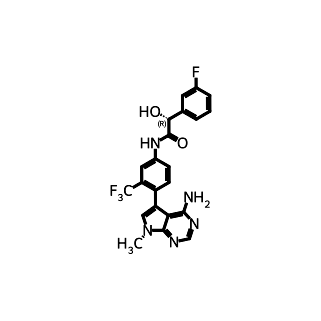 Cn1cc(-c2ccc(NC(=O)[C@H](O)c3cccc(F)c3)cc2C(F)(F)F)c2c(N)ncnc21